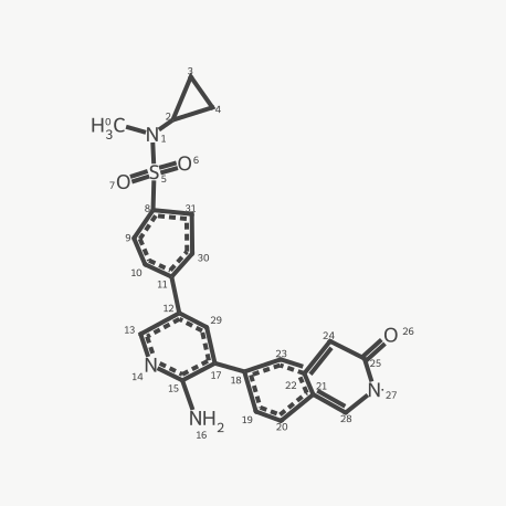 CN(C1CC1)S(=O)(=O)c1ccc(-c2cnc(N)c(-c3ccc4c(c3)=CC(=O)[N]C=4)c2)cc1